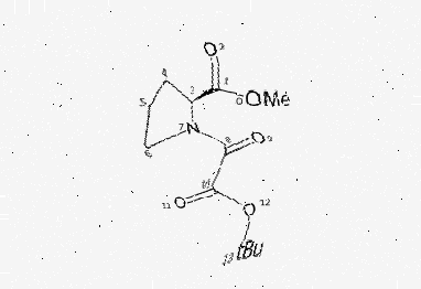 COC(=O)[C@@H]1CCCN1C(=O)C(=O)OC(C)(C)C